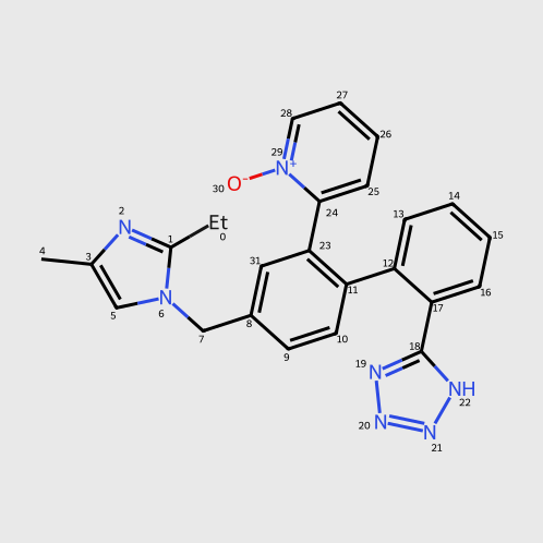 CCc1nc(C)cn1Cc1ccc(-c2ccccc2-c2nnn[nH]2)c(-c2cccc[n+]2[O-])c1